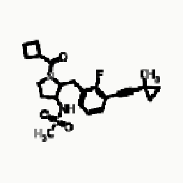 CC1(C#Cc2cccc(CC3C(NS(C)(=O)=O)CCN3C(=O)C3CCC3)c2F)CC1